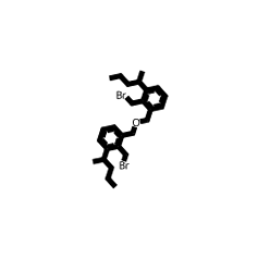 CCCC(C)c1cccc(COCc2cccc(C(C)CCC)c2CBr)c1CBr